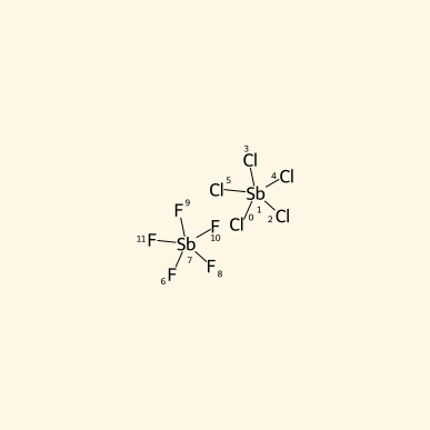 [Cl][Sb]([Cl])([Cl])([Cl])[Cl].[F][Sb]([F])([F])([F])[F]